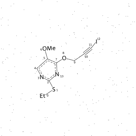 CCSc1ncc(OC)c(OCC#CI)n1